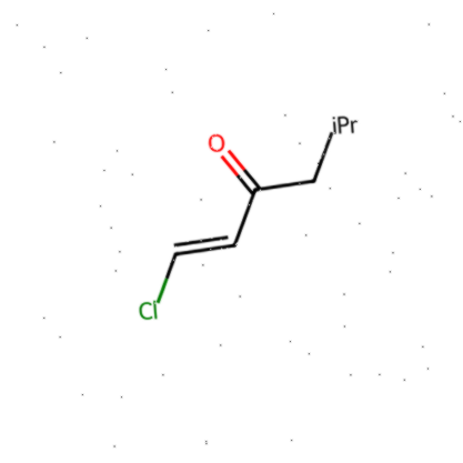 CC(C)CC(=O)C=CCl